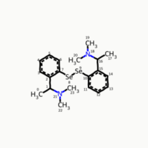 CC(c1ccccc1[Se][Se]c1ccccc1C(C)N(C)C)N(C)C